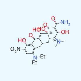 CCN(CC)c1cc([N+](=O)[O-])c(O)c2c1CC1CC3[C@H](N(C)C)C(O)=C(C(N)=O)C(=O)[C@@]3(O)C(O)=C1C2=O